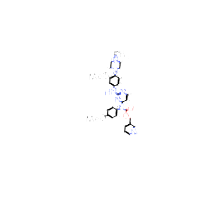 COc1ccc(N(C(=O)OCc2cccnc2)c2ccnc(Nc3ccc(N4CCN(C)CC4)c(OC)c3)n2)cc1